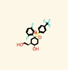 O=S(=O)(c1ccc(C(F)(F)F)cc1)[C@@]1(c2cc(F)ccc2F)CC[C@H](O)[C@@H](CCO)C1